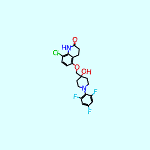 O=C1CCc2c(OCC3(O)CCN(c4c(F)cc(F)cc4F)CC3)ccc(Cl)c2N1